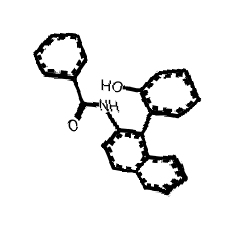 O=C(Nc1ccc2ccccc2c1-c1ccccc1O)c1ccccc1